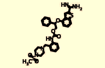 CS(=O)(=O)N1CCN(Cc2ccccc2NC(=O)OCC(Oc2cccc3sc(C(=N)N)cc23)c2ccccc2)CC1